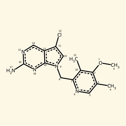 COc1c(C)cnc(Cn2cc(Cl)c3cnc(N)nc32)c1C